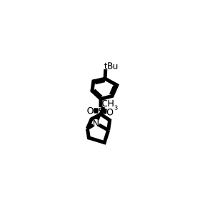 CC1CC2CCC(C1)N2S(=O)(=O)c1ccc(C(C)(C)C)cc1